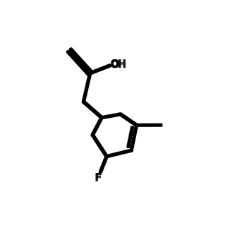 C=C(O)CC1CC(C)=CC(F)C1